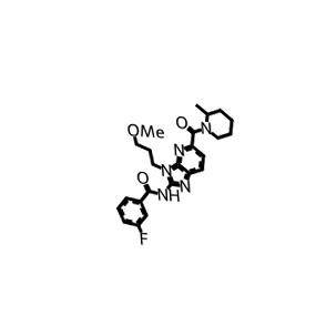 COCCCn1c(NC(=O)c2cccc(F)c2)nc2ccc(C(=O)N3CCCCC3C)nc21